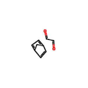 C1=CC2=CC=C1C2.O=CC=O